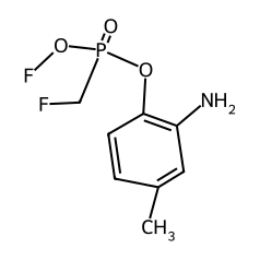 Cc1ccc(OP(=O)(CF)OF)c(N)c1